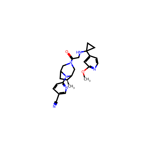 COc1cc(C2(NCC(=O)N3CC4C[C@H](C)C(C3)N4c3ccc(C#N)cn3)CC2)ccn1